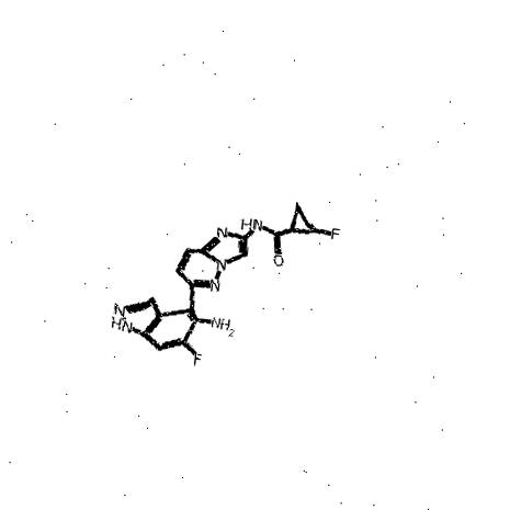 Nc1c(F)cc2[nH]ncc2c1-c1ccc2nc(NC(=O)C3CC3F)cn2n1